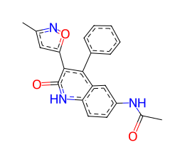 CC(=O)Nc1ccc2[nH]c(=O)c(-c3cc(C)no3)c(-c3ccccc3)c2c1